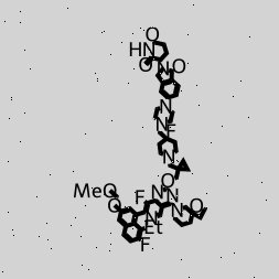 CCc1c(F)ccc2cc(OCOC)cc(-c3ncc4c(N5CCCC6(CCO6)C5)nc(OCC5(CN6CCC(F)(CN7CCN(c8ccc9c(c8)CN([C@H]8CCC(=O)NC8=O)C9=O)CC7)CC6)CC5)nc4c3F)c12